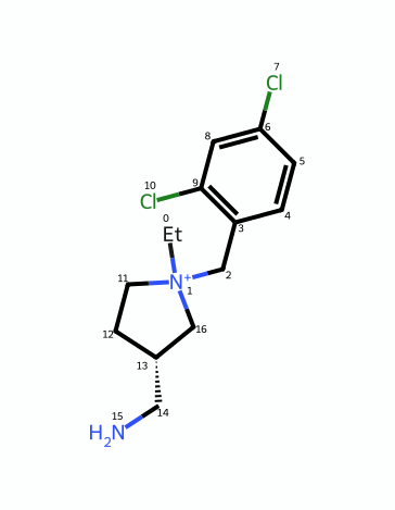 CC[N+]1(Cc2ccc(Cl)cc2Cl)CC[C@@H](CN)C1